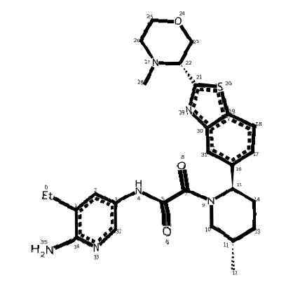 CCc1cc(NC(=O)C(=O)N2C[C@@H](C)CC[C@@H]2c2ccc3sc([C@H]4COCCN4C)nc3c2)cnc1N